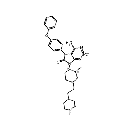 Cl.Nc1ncnc2c1n(-c1ccc(Oc3ccccc3)cc1)c(=O)n2[C@@H]1CCN(CCC2CCNCC2)C[C@@H]1F